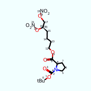 CC(C)(C)OC(=O)N1CCCC1C(=O)OCCCC[C@H](CO[N+](=O)[O-])O[N+](=O)[O-]